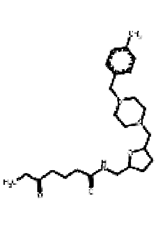 CCC(=O)CCCC(=O)NCC1CCC(CN2CCN(Cc3ccc(C)cc3)CC2)O1